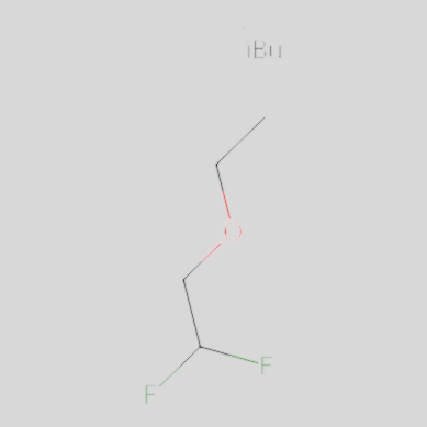 CC[C@@H](C)CCOCC(F)F